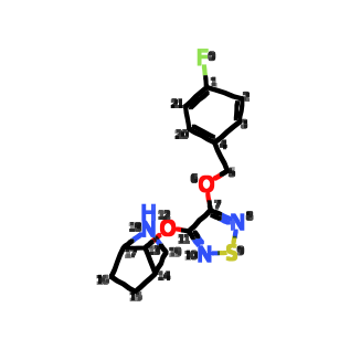 Fc1ccc(COc2nsnc2OC2C3CCC2NC3)cc1